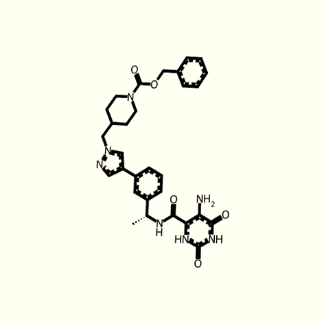 C[C@@H](NC(=O)c1[nH]c(=O)[nH]c(=O)c1N)c1cccc(-c2cnn(CC3CCN(C(=O)OCc4ccccc4)CC3)c2)c1